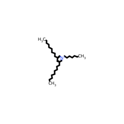 CCCCCCCCCc1cc(CCCCCCCCC)c[n+](CCCCCCC)c1